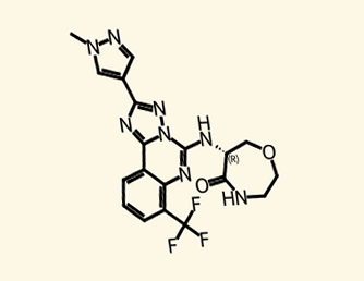 Cn1cc(-c2nc3c4cccc(C(F)(F)F)c4nc(N[C@@H]4COCCNC4=O)n3n2)cn1